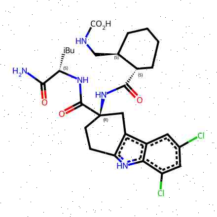 CCC(C)[C@H](NC(=O)[C@@]1(NC(=O)[C@H]2CCCC[C@@H]2CNC(=O)O)CCc2[nH]c3c(Cl)cc(Cl)cc3c2C1)C(N)=O